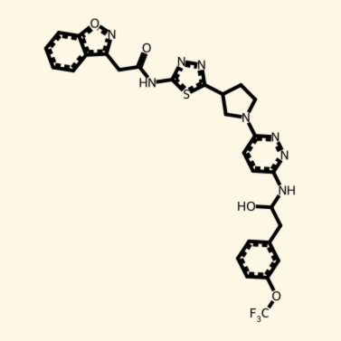 O=C(Cc1noc2ccccc12)Nc1nnc(C2CCN(c3ccc(NC(O)Cc4cccc(OC(F)(F)F)c4)nn3)C2)s1